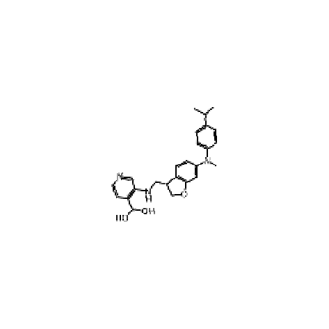 CC(C)c1ccc(N(C)c2ccc3c(c2)OC[C@H]3CNc2cnccc2C(O)O)cc1